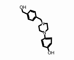 OCc1ccc(CN2CCN(c3ccc(O)cc3)CC2)cc1